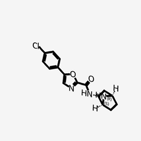 O=C(N[C@@H]1C[C@H]2CC[C@@H]1N2)c1ncc(-c2ccc(Cl)cc2)o1